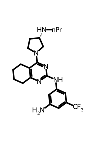 CCCN[C@H]1CCN(c2nc(Nc3cc(N)cc(C(F)(F)F)c3)nc3c2CCCC3)C1